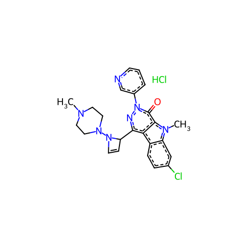 CN1CCN(N2C=CC2c2nn(-c3cccnc3)c(=O)c3c2c2ccc(Cl)cc2n3C)CC1.Cl